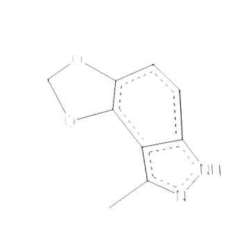 Cc1n[nH]c2ccc3c(c12)OCO3